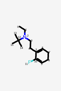 CCN(CCC1=CCCC=C1F)C(C)(C)C